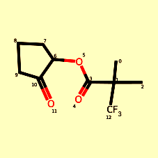 CC(C)(C(=O)OC1CCCC1=O)C(F)(F)F